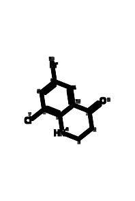 O=C1CCNc2c(Cl)cc(Br)cc21